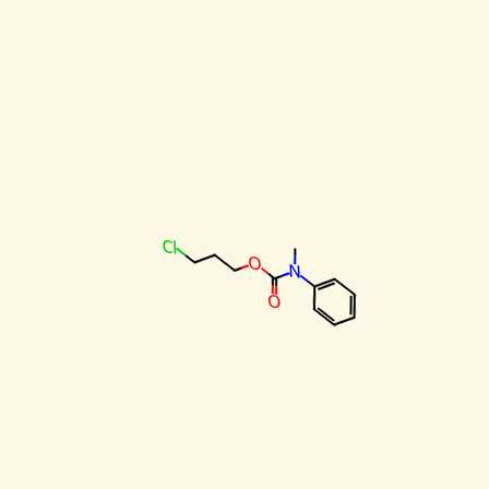 CN(C(=O)OCCCCl)c1ccccc1